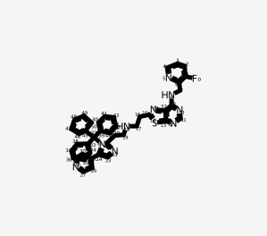 Fc1cccnc1CNc1ncnc2sc(CCNCCc3ncc(-c4ccncc4)n3C(c3ccccc3)(c3ccccc3)c3ccccc3)nc12